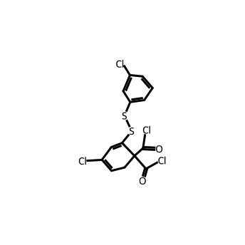 O=C(Cl)C1(C(=O)Cl)CC=C(Cl)C=C1SSc1cccc(Cl)c1